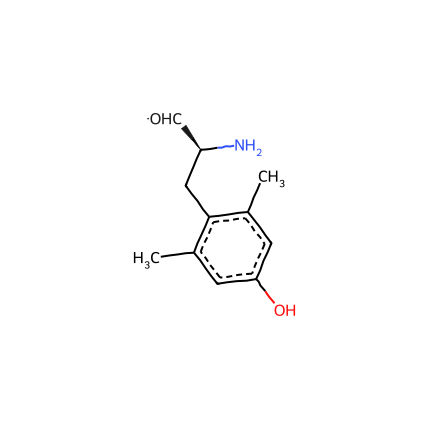 Cc1cc(O)cc(C)c1C[C@H](N)[C]=O